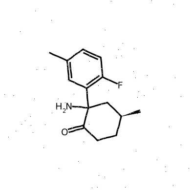 Cc1ccc(F)c(C2(N)C[C@@H](C)CCC2=O)c1